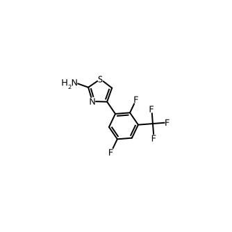 Nc1nc(-c2cc(F)cc(C(F)(F)F)c2F)cs1